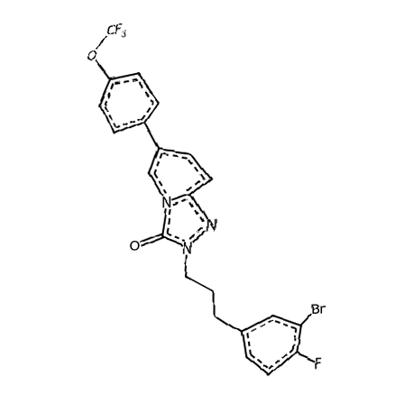 O=c1n(CCCc2ccc(F)c(Br)c2)nc2ccc(-c3ccc(OC(F)(F)F)cc3)cn12